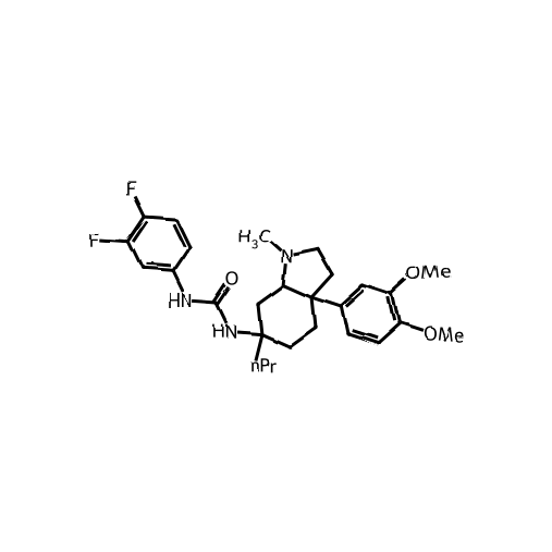 CCCC1(NC(=O)Nc2ccc(F)c(F)c2)CCC2(c3ccc(OC)c(OC)c3)CCN(C)C2C1